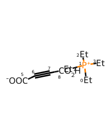 CC[P+](CC)(CC)CC.O=C([O-])C#CC(=O)O